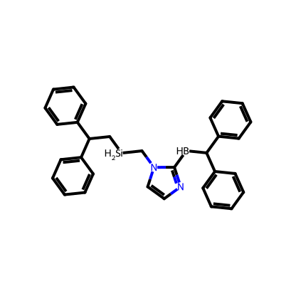 B(c1nccn1C[SiH2]CC(c1ccccc1)c1ccccc1)C(c1ccccc1)c1ccccc1